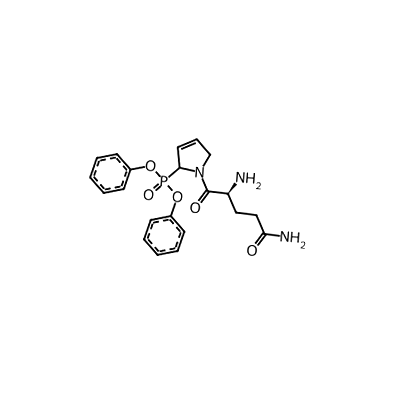 NC(=O)CC[C@H](N)C(=O)N1CC=CC1P(=O)(Oc1ccccc1)Oc1ccccc1